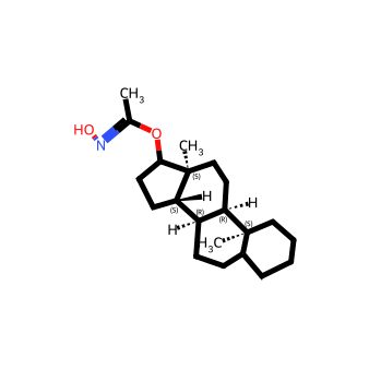 CC(=NO)OC1CC[C@H]2[C@@H]3CCC4[CH]CCC[C@]4(C)[C@@H]3CC[C@]12C